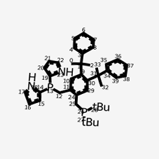 CC(C)(c1ccccc1)c1cc(CP(c2ccc[nH]2)c2ccc[nH]2)c(CP(C(C)(C)C)C(C)(C)C)cc1C(C)(C)c1ccccc1